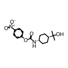 CC(C)(O)[C@H]1CC[C@H](NC(=O)Oc2ccc([N+](=O)[O-])cc2)CC1